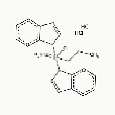 CC[CH2][Ti](=[SiH2])([Cl])([CH]1C=Cc2ccccc21)[CH]1C=Cc2ccccc21.Cl.Cl